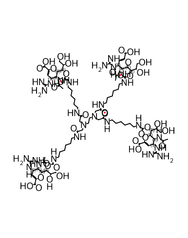 CC(=O)N[C@H]1[C@H]([C@H](OC(=O)NCCCCCCNC(=O)CN(CCN(CC(=O)NCCCCCCNC(=O)O[C@H](C(O)CO)[C@@H]2OC(C(=O)O)=C[C@H](NC(=N)N)[C@H]2NC(C)=O)CC(=O)NCCCCCCNC(=O)O[C@H](C(O)CO)[C@@H]2OC(C(=O)O)=C[C@H](NC(=N)N)[C@H]2NC(C)=O)CC(=O)NCCCCCCNC(=O)O[C@H](C(O)CO)[C@@H]2OC(C(=O)O)=C[C@H](NC(=N)N)[C@H]2NC(C)=O)C(O)CO)OC(C(=O)O)=C[C@@H]1NC(=N)N